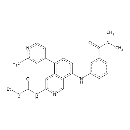 CCNC(=O)Nc1cc2c(-c3ccnc(C)c3)ccc(Nc3cccc(C(=O)N(C)C)c3)c2cn1